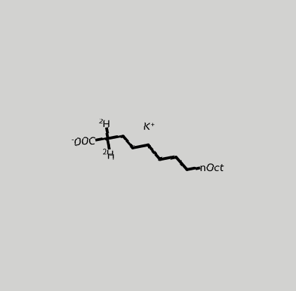 [2H]C([2H])(CCCCCCCCCCCCCC)C(=O)[O-].[K+]